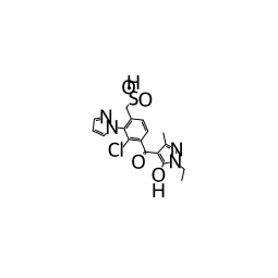 CCn1nc(C)c(C(=O)c2ccc(C[SH](=O)=O)c(-n3cccn3)c2Cl)c1O